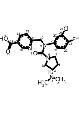 CN(C)[C@H]1CCN(C(=O)N(Cc2ccc(C(=O)O)cn2)c2ccc(F)c(Cl)c2)C1